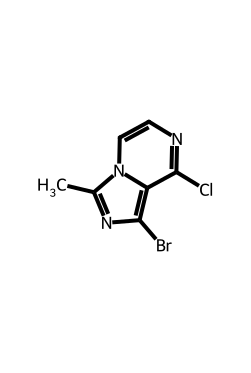 Cc1nc(Br)c2c(Cl)nccn12